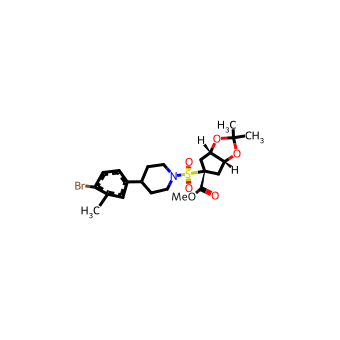 COC(=O)[C@@]1(S(=O)(=O)N2CCC(c3ccc(Br)c(C)c3)CC2)C[C@@H]2OC(C)(C)O[C@@H]2C1